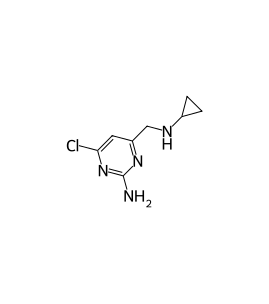 Nc1nc(Cl)cc(CNC2CC2)n1